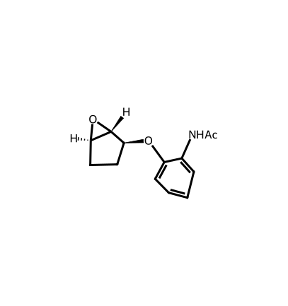 CC(=O)Nc1ccccc1O[C@H]1CC[C@H]2O[C@H]12